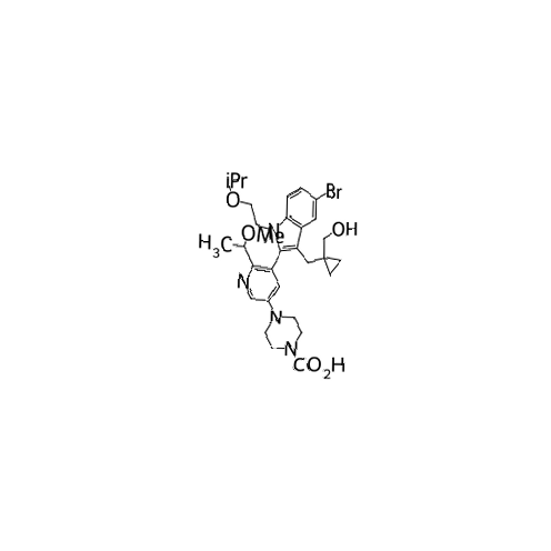 COC(C)c1ncc(N2CCN(C(=O)O)CC2)cc1-c1c(CC2(CO)CC2)c2cc(Br)ccc2n1CCOC(C)C